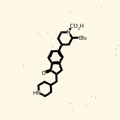 CC(C)(C)C1CC(c2ccc3c(c2)CC(CC2CCNCC2)C3=O)CCN1C(=O)O